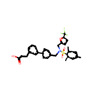 Cc1cc(C)c(S(=O)(=O)N(Cc2ccc(-c3cccc(CCC(=O)O)c3)cc2)Cc2ccc(C(F)(F)F)o2)c(C)c1